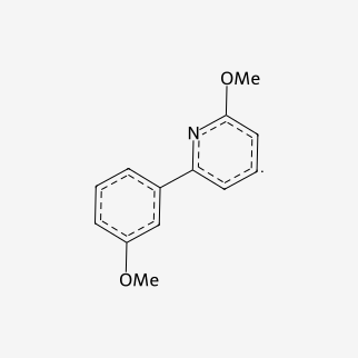 COc1cccc(-c2c[c]cc(OC)n2)c1